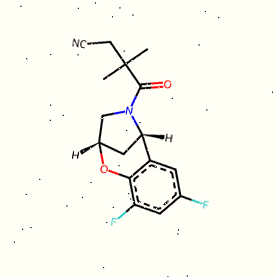 CC(C)(CC#N)C(=O)N1C[C@@H]2C[C@H]1c1cc(F)cc(F)c1O2